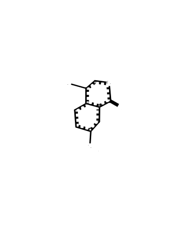 O=c1[nH]cc(Br)c2ccc([N+](=O)[O-])cc12